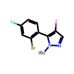 CC(C)(C)n1ncc(I)c1-c1ccc(F)cc1Br